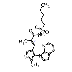 CCCCCS(=O)(=O)NC(=O)/C(C)=C/c1cnn(C)c1-n1ccc2cccnc21